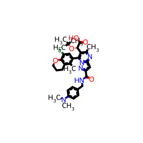 Cc1nc2cc(C(=O)NCc3ccc(N(C)C)cc3)nn2c(-c2cc(F)c3c(c2C)CCCO3)c1[C@H](OC(C)(C)C)C(=O)O